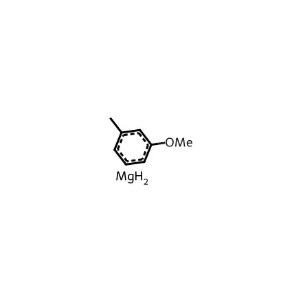 COc1cccc(C)c1.[MgH2]